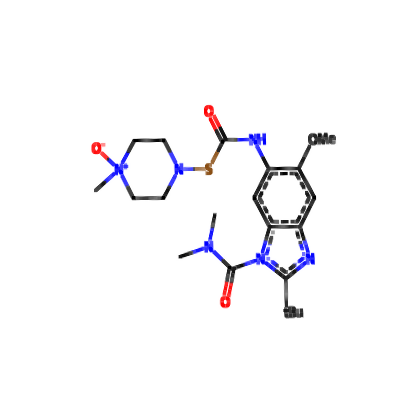 COc1cc2nc(C(C)(C)C)n(C(=O)N(C)C)c2cc1NC(=O)SN1CC[N+](C)([O-])CC1